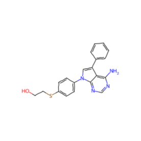 Nc1ncnc2c1c(-c1ccccc1)cn2-c1ccc(SCCO)cc1